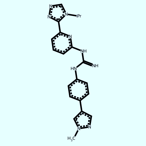 CC(C)n1cnnc1-c1cccc(NC(=N)Nc2ccc(-c3cnn(C)c3)cc2)n1